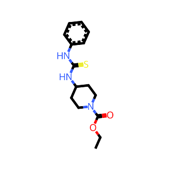 CCOC(=O)N1CCC(NC(=S)Nc2ccccc2)CC1